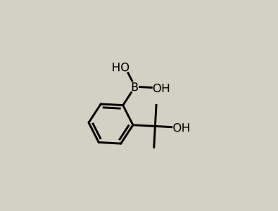 CC(C)(O)c1ccccc1B(O)O